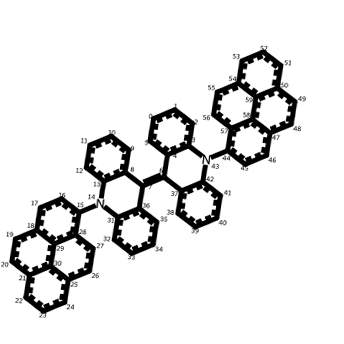 c1ccc2c(c1)C(=C1c3ccccc3N(c3ccc4ccc5cccc6ccc3c4c56)c3ccccc31)c1ccccc1N2c1ccc2ccc3cccc4ccc1c2c34